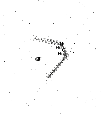 CCCCCCCCCCCCCCCCCC[N+](C)(C)CC(O)COCC(O)C[N+](C)(C)CCCCCCCCCCCCCCCCCC.[Cl-].[Cl-]